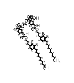 CCCCCCCCCCc1ccc(CCCOC(=O)NC2CCC(C(=O)O)(C(=O)O)C2)c(F)c1F.CCCCCCCCCCc1ccc(CCCOC(=O)NC2CCC(C(=O)O)(C(=O)OCC)C2)c(F)c1F